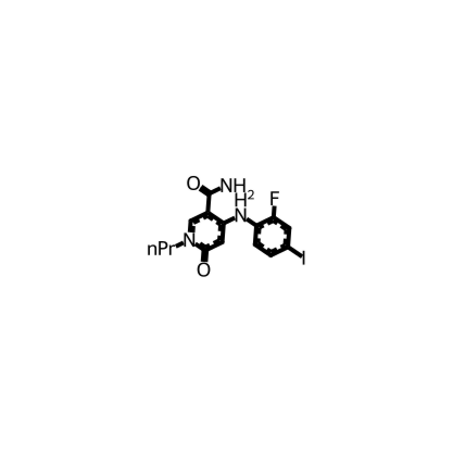 CCCn1cc(C(N)=O)c(Nc2ccc(I)cc2F)cc1=O